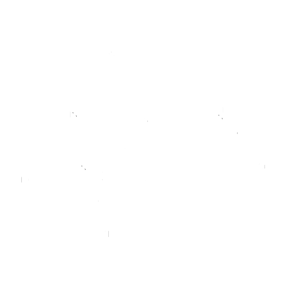 CC(C)(C)CC(C)(C)Nc1ccc2c(-c3ccccc3S(=O)(=O)NCCO)c3ccc(Nc4cc(S(=O)(=O)O)ccc4F)cc3[o+]c2c1.[Cl-]